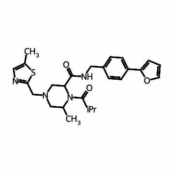 Cc1cnc(CN2CC(C)N(C(=O)C(C)C)C(C(=O)NCc3ccc(-c4ccco4)cc3)C2)s1